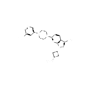 CN[C@H]1C[C@H](n2cc(C#N)c3ccc(N4CCN(c5cncc(C(=O)O)c5)CC4)nc32)C1